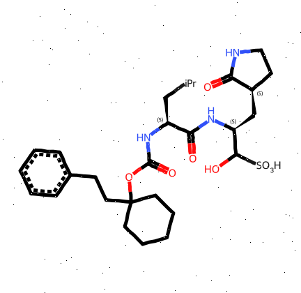 CC(C)C[C@H](NC(=O)OC1(CCc2ccccc2)CCCCC1)C(=O)N[C@@H](C[C@@H]1CCNC1=O)C(O)S(=O)(=O)O